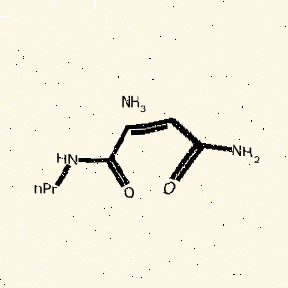 CCCNC(=O)/C=C\C(N)=O.N